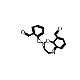 O=CC1=CC=CC2=NCCN(Oc3ccccc3C=O)OC12